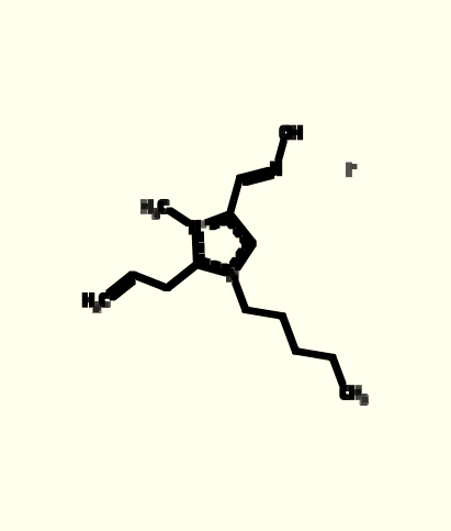 C=CCc1n(CCCCC)cc(C=NO)[n+]1C.[I-]